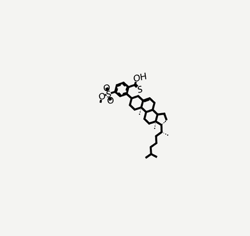 COS(=O)(=O)c1ccc(C(O)=S)c(C2CC[C@@]3(C)C(=CCC4C3CC[C@@]3(C)C4CC[C@@H]3[C@H](C)CCCC(C)C)C2)c1